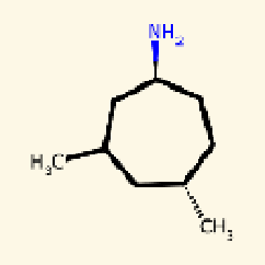 CC1C[C@@H](C)CC[C@H](N)C1